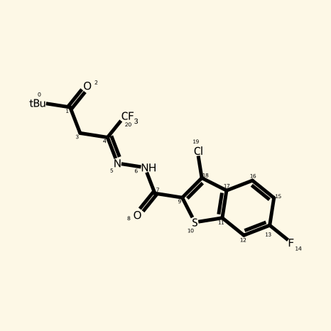 CC(C)(C)C(=O)C/C(=N/NC(=O)c1sc2cc(F)ccc2c1Cl)C(F)(F)F